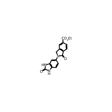 CCOC(=O)c1ccc2c(c1)CN(c1ccc3[nH]c(=O)[nH]c3c1)C2=O